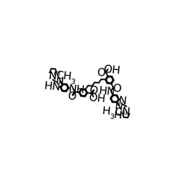 C[C@H]1CCCN1Cc1nc2cc(NC(=O)c3ccc(C(=O)O)c(CCCCCc4cc(C(=O)Nc5ccc6[nH]c(CN7CCC[C@@H]7C)nc6c5)ccc4C(=O)O)c3)ccc2[nH]1